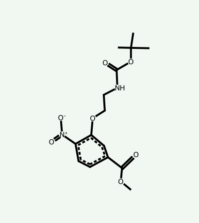 COC(=O)c1ccc([N+](=O)[O-])c(OCCNC(=O)OC(C)(C)C)c1